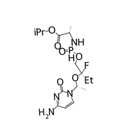 CC[C@@](F)(CO[PH](=O)N[C@@H](C)C(=O)OC(C)C)O[C@H](C)n1ccc(N)nc1=O